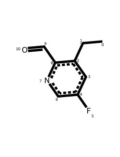 C[CH]c1cc(F)cnc1C=O